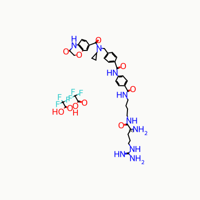 N=C(N)NCCC[C@H](N)C(=O)NCCCCNC(=O)c1ccc(NC(=O)c2ccc(CN(C(=O)c3ccc4c(c3)OCC(=O)N4)C3CC3)cc2)cc1.O=C(O)C(F)(F)F.O=C(O)C(F)(F)F